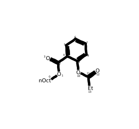 CCCCCCCCOC(=O)c1ccccc1OC(=O)CC